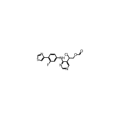 O=COCC(Cl)c1cncnc1Nc1ccc(-c2cscn2)c(F)c1